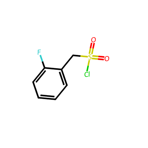 O=S(=O)(Cl)Cc1ccccc1F